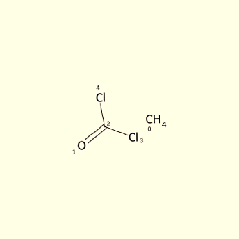 C.O=C(Cl)Cl